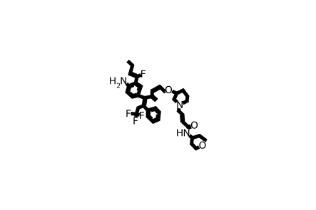 C=C(/C=C\COC1CCCN(C/C=C/C(=O)NC2CCOCC2)C1)/C(=C(/CC(F)(F)F)c1ccccc1)c1ccc(N)c(/C(F)=C/CC)c1